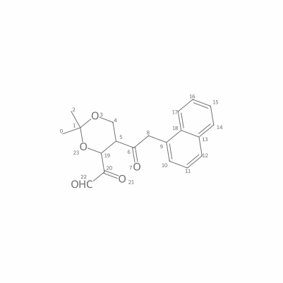 CC1(C)OCC(C(=O)Cc2cccc3ccccc23)C(C(=O)C=O)O1